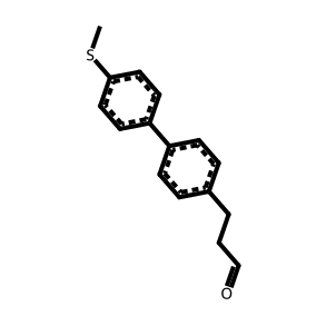 CSc1ccc(-c2ccc(CCC=O)cc2)cc1